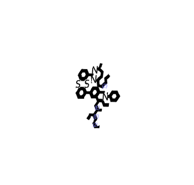 C=C/C=C\CC1=CCC(C)=NC(c2cccc3c2Sc2c(cccc2-c2ccc4c(c2)C(/C=C(C)/C(C=C)=C/C=C\C)=C(C=C)N(c2ccccc2)C4)S3)=N1